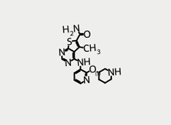 Cc1c(C(N)=O)sc2ncnc(Nc3cccnc3O[C@H]3CCCNC3)c12